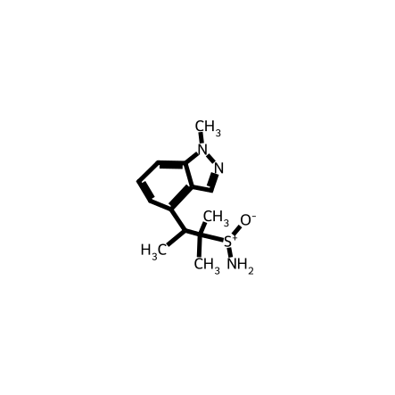 CC(c1cccc2c1cnn2C)C(C)(C)[S+](N)[O-]